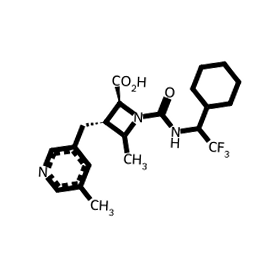 Cc1cncc(C[C@H]2C(C)N(C(=O)NC(C3CCCCC3)C(F)(F)F)[C@@H]2C(=O)O)c1